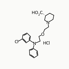 Cl.O=C(O)[C@@H]1CCCN(CCOCCN(c2ccccc2)c2cccc(Cl)c2)C1